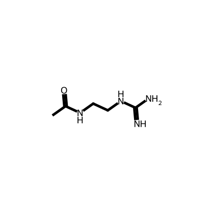 CC(=O)NCCNC(=N)N